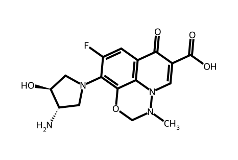 CN1COc2c(N3C[C@H](N)[C@@H](O)C3)c(F)cc3c(=O)c(C(=O)O)cn1c23